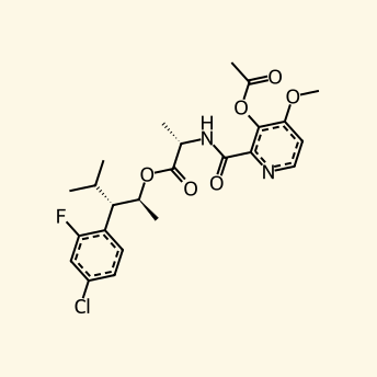 COc1ccnc(C(=O)N[C@@H](C)C(=O)O[C@@H](C)[C@H](c2ccc(Cl)cc2F)C(C)C)c1OC(C)=O